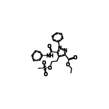 CCOC(=O)c1nn(-c2ccccc2)c(C(=O)Nc2ccccc2)c1CCOS(C)(=O)=O